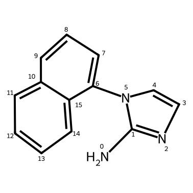 Nc1nccn1-c1cccc2ccccc12